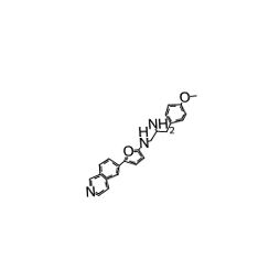 COc1ccc(C[C@H](N)CNc2ccc(-c3ccc4cnccc4c3)o2)cc1